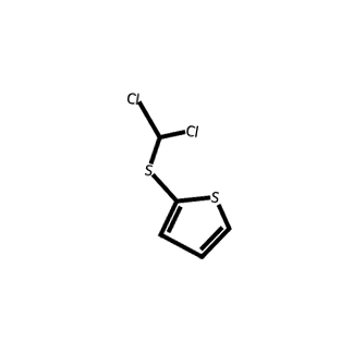 ClC(Cl)Sc1cccs1